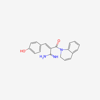 N=C(N)C(=Cc1ccc(O)cc1)C(=O)N1CC=Cc2ccccc21